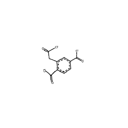 O=C(Cl)Cc1cc(C(=O)Cl)ccc1C(=O)Cl